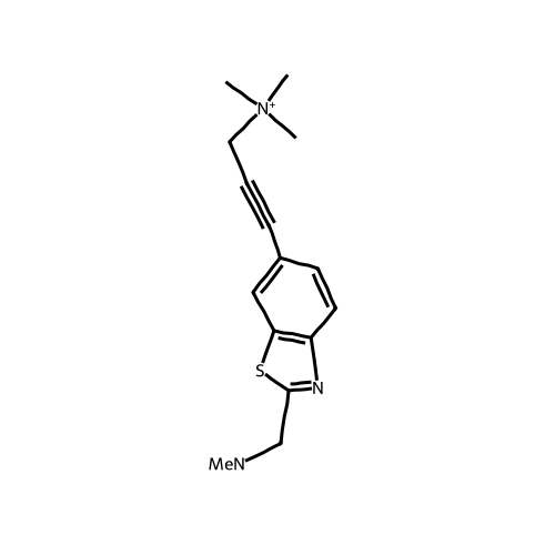 CNCc1nc2ccc(C#CC[N+](C)(C)C)cc2s1